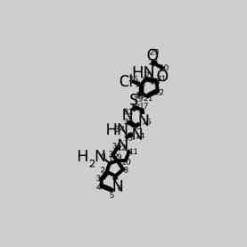 N[C@@H]1c2cccnc2CC12CCN(c1nc3ncc(Sc4ccc5c(c4Cl)NC(=O)CO5)nc3[nH]1)CC2